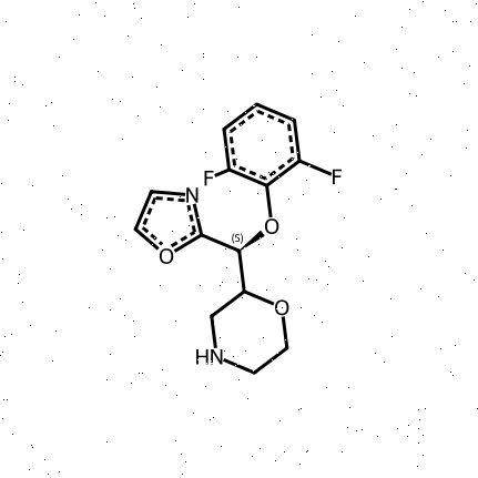 Fc1cccc(F)c1O[C@H](c1ncco1)C1CNCCO1